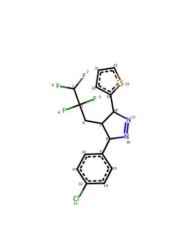 FC(F)C(F)(F)CC1C(c2ccc(Cl)cc2)N=NC1c1cccs1